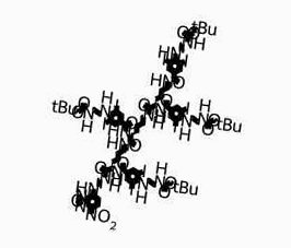 CC(C)(C)OC(=O)NCCNc1c(I)cc(C(=O)NCCCC[C@H](NC(=O)c2cc(I)c(NCCNC(=O)OC(C)(C)C)c(I)c2)C(=O)NCCCC[C@H](NC(=O)c2cc(I)c(NCCNC(=O)OC(C)(C)C)c(I)c2)C(=O)NCCCC[C@H](NC(=O)c2cc(I)c(NCCNC(=O)OC(C)(C)C)c(I)c2)C(=O)NCCNc2ccc([N+](=O)[O-])c3nonc23)cc1I